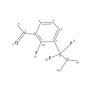 CC(=O)c1cccc(C(F)(F)C(C)C)c1F